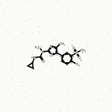 Cc1nc(N(C)C(=O)NC2CC2)sc1-c1ccc(Cl)c(S(C)(=O)=O)c1